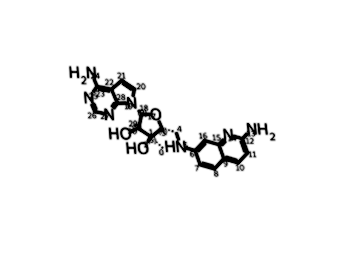 C[C@@]1(O)[C@@H](CNc2ccc3ccc(N)nc3c2)O[C@@H](n2ccc3c(N)ncnc32)[C@@H]1O